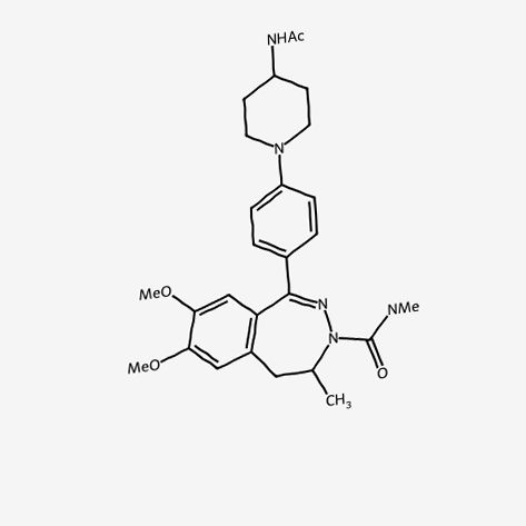 CNC(=O)N1N=C(c2ccc(N3CCC(NC(C)=O)CC3)cc2)c2cc(OC)c(OC)cc2CC1C